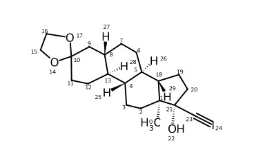 C[C@]12CC[C@H]3[C@@H](CC[C@H]4CC5(CC[C@@H]43)OCCO5)[C@@H]1CC[C@@]2(O)C#I